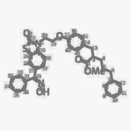 COC(=O)C(CCCc1ccccc1)Cc1ccc(OCCn2c(=O)sc3cc(/C(=N/O)c4ccccc4)ccc32)cc1